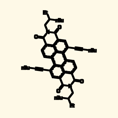 CCCCC#Cc1cc2c3c(ccc4c5c(C#CCCCC)cc6c7c(ccc(c1c34)c75)C(=O)N(CC(CC)CCCC)C6=O)C(=O)N(CC(CC)CCCC)C2=O